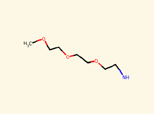 COCCOCCOCC[NH]